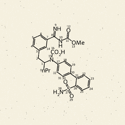 CCCC(Cc1cccc(C(=N)NC(=O)OC)c1)N(C(=O)O)c1ccc(-c2ccccc2S(N)(=O)=O)cc1